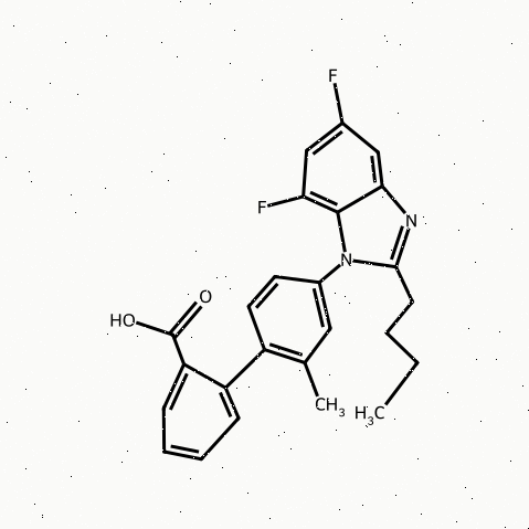 CCCCc1nc2cc(F)cc(F)c2n1-c1ccc(-c2ccccc2C(=O)O)c(C)c1